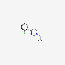 C[C](C)CN1CC=C(c2ccccc2Cl)CC1